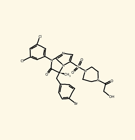 C[C@@]1(Cc2ccc(Br)cc2)C(=O)N(c2cc(Cl)cc(Cl)c2)c2ncc(S(=O)(=O)N3CCN(C(=O)CO)CC3)n21